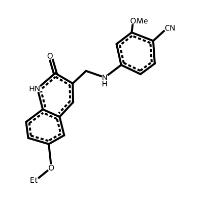 CCOc1ccc2[nH]c(=O)c(CNc3ccc(C#N)c(OC)c3)cc2c1